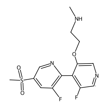 CNCCOc1cn[c]c(F)c1-c1ncc(S(C)(=O)=O)cc1F